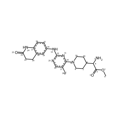 COC(=O)C(N)C1CCN(c2nc(Nc3ccc4c(c3)CCC(=O)N4)ncc2F)CC1